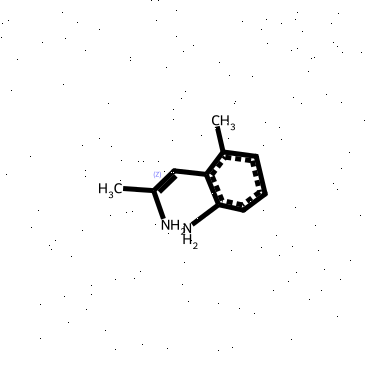 C/C(N)=C/c1c(C)cccc1N